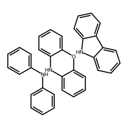 c1ccc(Nc2ccccc2)cc1.c1ccc2c(c1)Nc1ccccc1O2.c1ccc2c(c1)[nH]c1ccccc12